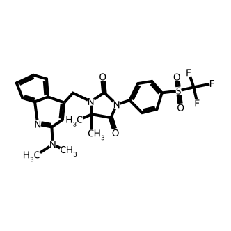 CN(C)c1cc(CN2C(=O)N(c3ccc(S(=O)(=O)C(F)(F)F)cc3)C(=O)C2(C)C)c2ccccc2n1